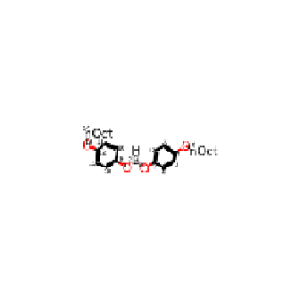 CCCCCCCCOc1ccc(OBOc2ccc(OCCCCCCCC)cc2)cc1